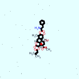 COC(=O)[C@@]12C[C@H](O)C3[C@@]4(C)CC(=O)C(OC(=O)[C@@H](N)Cc5ccccc5)=C(C)C4C[C@H]4OC(=O)[C@H](OC(=O)C=C(C)C)[C@@H]1[C@@]34CO2